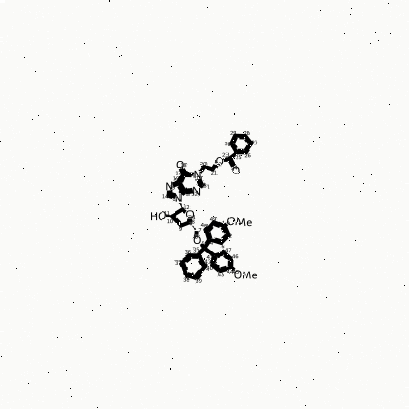 COc1ccc(C(OC[C@@H]2C[C@@H](O)[C@H](n3cnc4c(=O)n(CCOC(=O)c5ccccc5)cnc43)O2)(c2ccccc2)c2ccc(OC)cc2)cc1